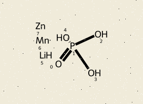 O=P(O)(O)O.[LiH].[Mn].[Zn]